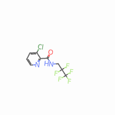 O=C(NCC(F)(F)C(F)(F)F)c1ncccc1Cl